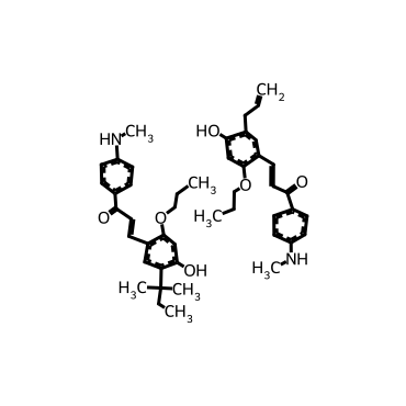 C=CCc1cc(C=CC(=O)c2ccc(NC)cc2)c(OCCC)cc1O.CCCOc1cc(O)c(C(C)(C)CC)cc1C=CC(=O)c1ccc(NC)cc1